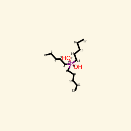 CCCCCP(O)(O)(CCCCC)CCCCC